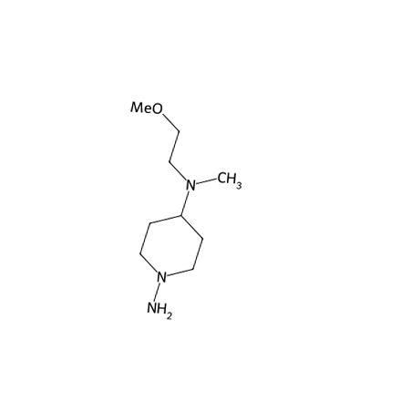 COCCN(C)C1CCN(N)CC1